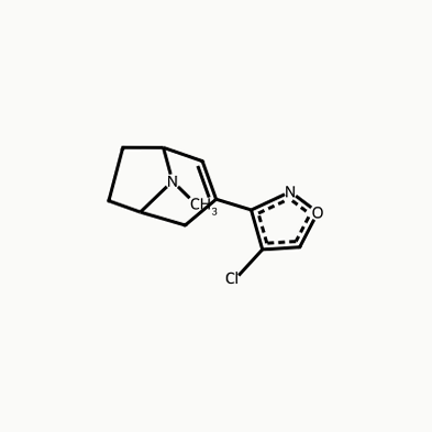 CN1C2C=C(c3nocc3Cl)CC1CC2